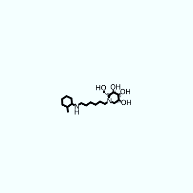 CC1CCCCC1NCCCCCCN1C[C@H](O)[C@@H](O)[C@H](O)[C@H]1CO